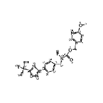 COc1ccc(COC(=O)N(F)Cc2ccc(-c3noc(C(F)(F)F)n3)cc2)cn1